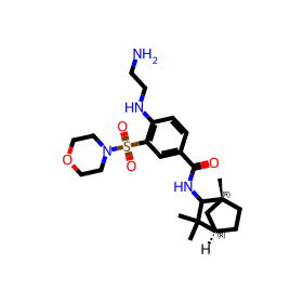 CC1(C)C(NC(=O)c2ccc(NCCN)c(S(=O)(=O)N3CCOCC3)c2)[C@]2(C)CC[C@@H]1C2